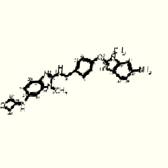 Cn1c(NCc2ccc(Oc3nc4ccc(N)cc4n3C)cc2)nc2ccc(NC3COC3)cc21